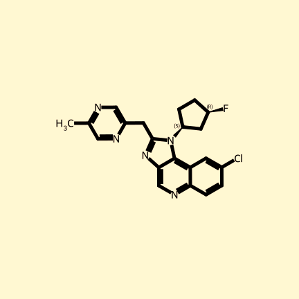 Cc1cnc(Cc2nc3cnc4ccc(Cl)cc4c3n2[C@H]2CC[C@@H](F)C2)cn1